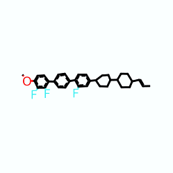 C/C=C/C1CCC(C2CCC(c3ccc(-c4ccc(-c5ccc(OC)c(F)c5F)cc4)c(F)c3)CC2)CC1